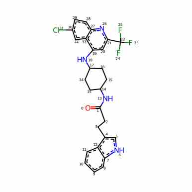 O=C(CCc1c[nH]c2ccccc12)NC1CCC(Nc2cc(C(F)(F)F)nc3ccc(Cl)cc23)CC1